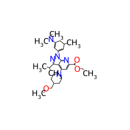 CCOC(=O)c1cc(N2CCC(COC)CC2)c2c(C(C)C)nn(C3=CC(C)CC(N(C)C)=C3)c2n1